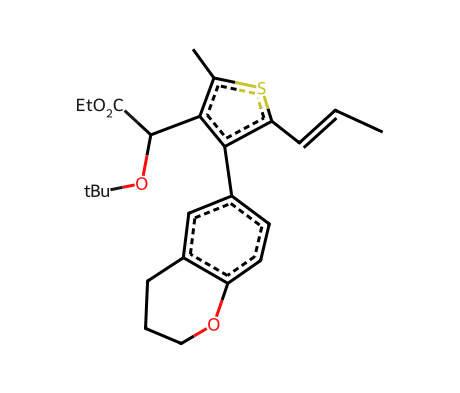 C/C=C/c1sc(C)c(C(OC(C)(C)C)C(=O)OCC)c1-c1ccc2c(c1)CCCO2